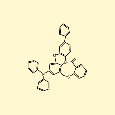 C=C1B2c3ccc(-c4ccccc4)cc3Oc3cc(N(c4ccccc4)c4ccccc4)cc(c32)CSc2ccccc21